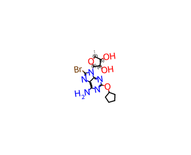 C[C@H]1O[C@@H](n2c(Br)nc3c(N)nc(OC4CCCC4)nc32)[C@H](O)[C@@H]1O